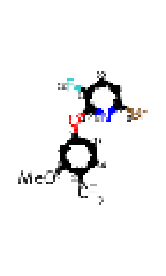 COc1cc(Oc2nc(Br)ccc2F)ccc1C(F)(F)F